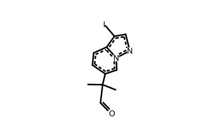 CC(C)(C=O)c1ccc2c(I)cnn2c1